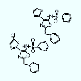 O=S(=O)(Nc1oc(Cc2ccccc2)nc1-c1ccc(Cl)s1)c1ccccc1.O=S(=O)(Nc1oc(Cc2ccccc2)nc1-c1cccs1)c1ccccc1